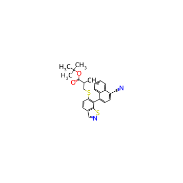 CC(CSc1ccc2cnsc2c1-c1ccc(C#N)c2ccccc12)C(=O)OC(C)(C)C